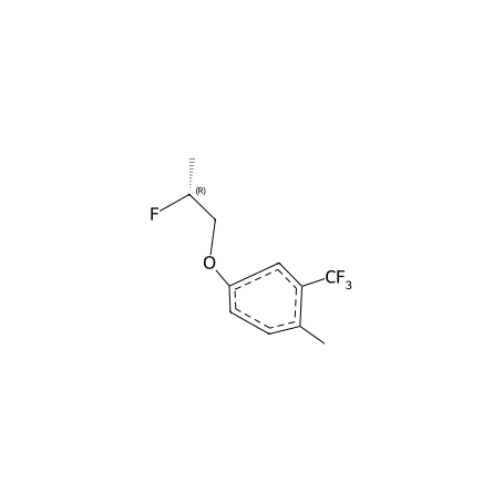 Cc1ccc(OC[C@@H](C)F)cc1C(F)(F)F